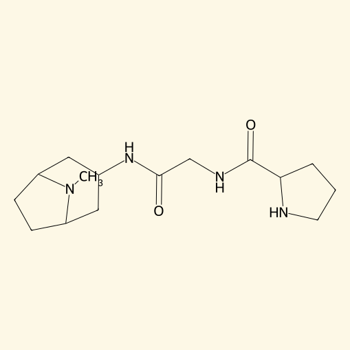 CN1C2CCC1CC(NC(=O)CNC(=O)C1CCCN1)C2